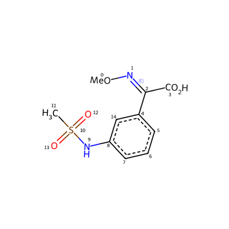 CO/N=C(/C(=O)O)c1cccc(NS(C)(=O)=O)c1